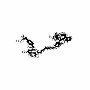 Cc1ncsc1-c1ccc(CNC(=O)[C@@H]2C[C@@H](O)CN2C(=O)C(NC(=O)CCCCCCCCCCOc2cc(F)c([C@@H]3c4[nH]c5ccccc5c4C[C@@H](C)N3CC(C)(C)F)c(F)c2)C(C)(C)C)cc1